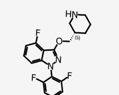 Fc1cccc(F)c1-n1nc(OC[C@H]2CCCNC2)c2c(F)cccc21